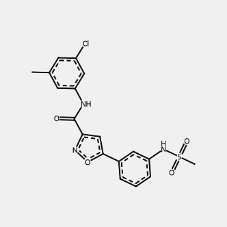 Cc1cc(Cl)cc(NC(=O)c2cc(-c3cccc(NS(C)(=O)=O)c3)on2)c1